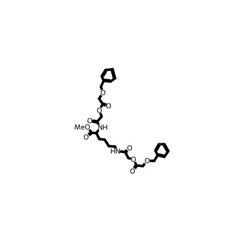 COC(=O)C(CCCCNC(=O)COC(=O)COCc1ccccc1)NC(=O)COC(=O)COCc1ccccc1